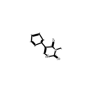 Cn1c(=O)[nH]cc(-c2ccccc2)c1=O